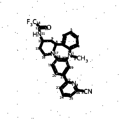 CN1c2ccccc2C2CC(NC(=O)C(F)(F)F)CCN2c2ccc(-c3cccc(C#N)n3)cc21